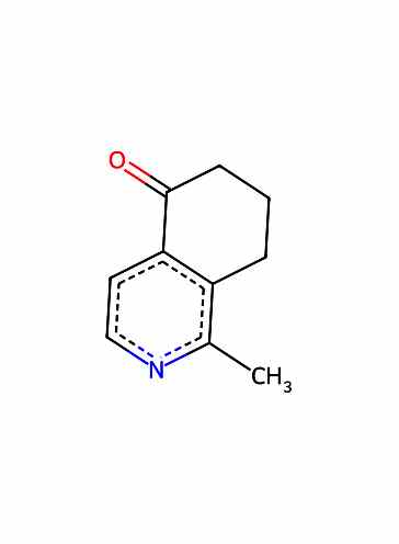 Cc1nccc2c1CCCC2=O